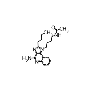 CCCCc1nc2c(N)nc3ccccc3c2n1CCCCNC(C)=O